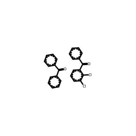 O=C(c1ccccc1)c1cccc(Cl)c1Cl.O=C(c1ccccc1)c1ccccc1